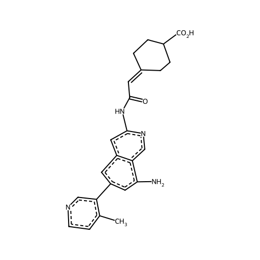 Cc1ccncc1-c1cc(N)c2cnc(NC(=O)C=C3CCC(C(=O)O)CC3)cc2c1